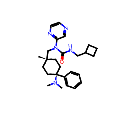 CN(C)[C@]1(c2ccccc2)CC[C@@](C)(CN(C(=O)NCC2CCC2)c2cnccn2)CC1